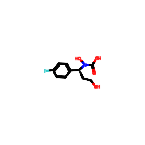 O=C(O)N(O)[C@@H](CCO)c1ccc(F)cc1